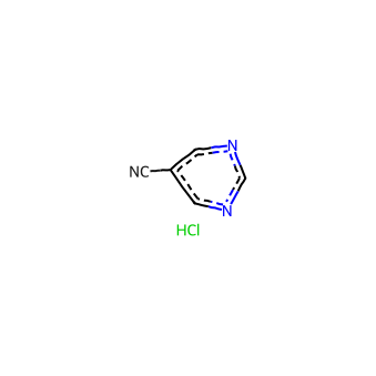 Cl.N#Cc1cncnc1